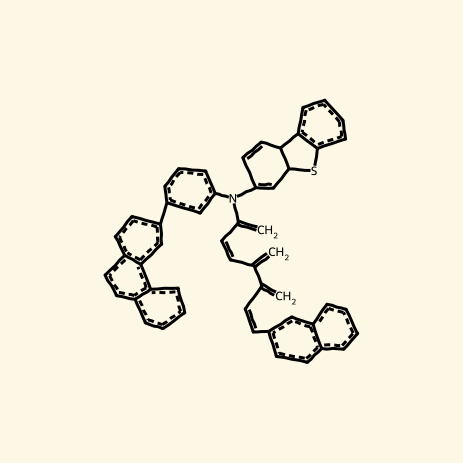 C=C(/C=C\C(=C)N(C1=CC2Sc3ccccc3C2C=C1)c1cccc(-c2ccc3ccc4ccccc4c3c2)c1)C(=C)/C=C\c1ccc2ccccc2c1